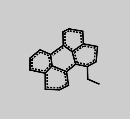 CCc1ccc2cccc3c4cccc5cccc(c1c23)c54